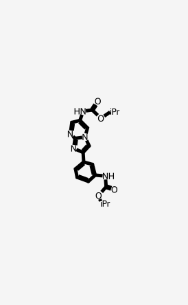 CC(C)OC(=O)Nc1cccc(-c2cn3cc(NC(=O)OC(C)C)cnc3n2)c1